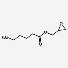 CC(C)(C)CCCCC(=O)OCC1CO1